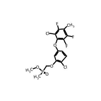 COP(C)(=O)COc1cc(Oc2c(F)c(F)c(C)c(F)c2Cl)ccc1Cl